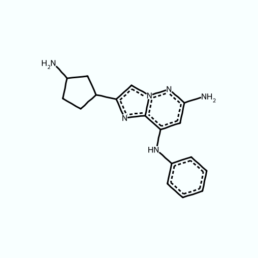 Nc1cc(Nc2ccccc2)c2nc(C3CCC(N)C3)cn2n1